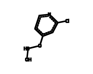 OBOc1ccnc(Cl)c1